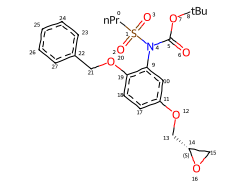 CCCS(=O)(=O)N(C(=O)OC(C)(C)C)c1cc(OC[C@@H]2CO2)ccc1OCc1ccccc1